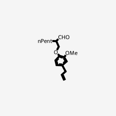 C=CCc1ccc(OCC(C=O)CCCCC)c(OC)c1